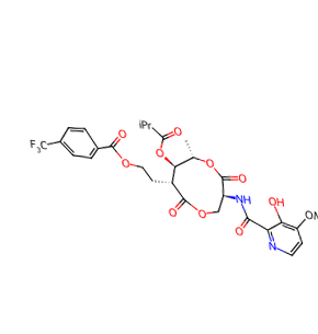 COc1ccnc(C(=O)N[C@H]2COC(=O)[C@H](CCOC(=O)c3ccc(C(F)(F)F)cc3)[C@@H](OC(=O)C(C)C)[C@H](C)OC2=O)c1O